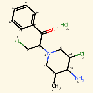 CC1CN(C(CCl)C(=O)c2ccccc2)CC(Cl)C1N.Cl